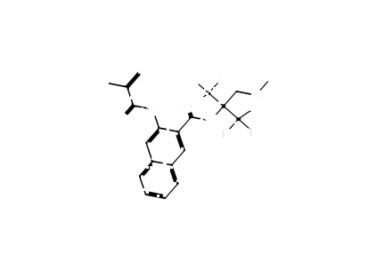 C=C(C)C(=O)Oc1cc2ccccc2cc1C(=O)OC(CSC)(C(F)(F)F)C(F)(F)F